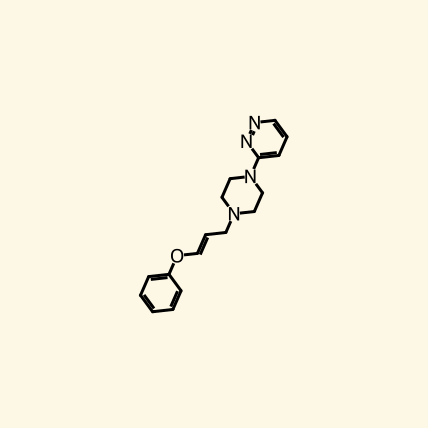 C(=COc1ccccc1)CN1CCN(c2cccnn2)CC1